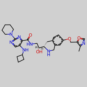 Cc1ncoc1COc1ccc2c(c1)CN[C@H]([C@H](O)CNC(=O)c1nc(N3CCCCC3)ncc1NC1CCC1)C2